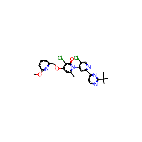 COc1cccc(COc2cc(C)n(-c3cc(-c4ccnc(C(C)(C)C)n4)ncc3Cl)c(=O)c2Cl)n1